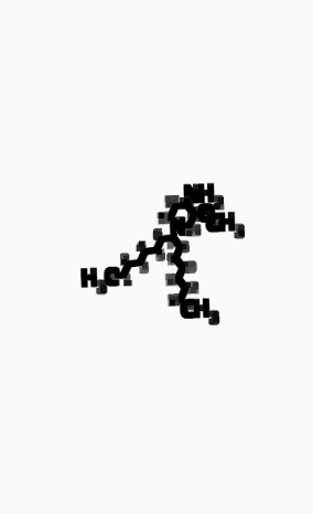 CCCCCCCC(CCCCCCC)N1CC[C@@H](N)[C@@H](OC)C1